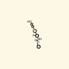 O=C(Nc1ccc(C2CCN(C3CC4(CC(O)C4)C3)CC2)c(F)c1)OCc1ccccc1